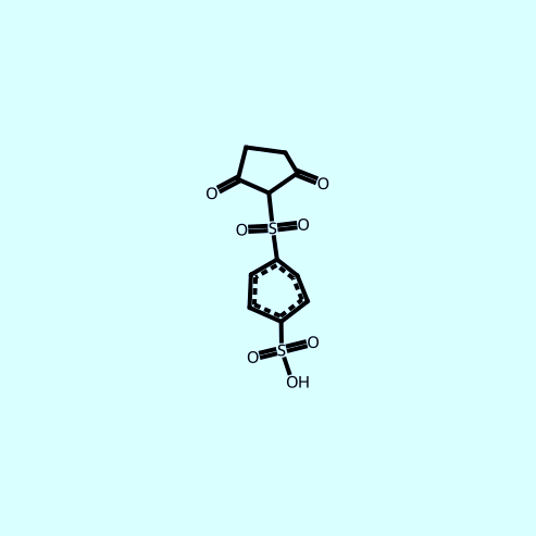 O=C1CCC(=O)C1S(=O)(=O)c1ccc(S(=O)(=O)O)cc1